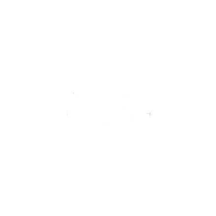 COC(=O)c1cc(C(Cl)Cl)c[se]1